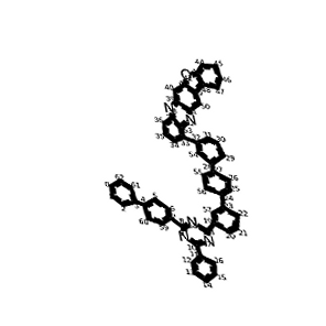 c1ccc(-c2ccc(-c3nc(-c4ccccc4)nc(-c4cccc(-c5ccc(-c6cccc(-c7cccc8nc9cc%10oc%11ccccc%11c%10cc9nc78)c6)cc5)c4)n3)cc2)cc1